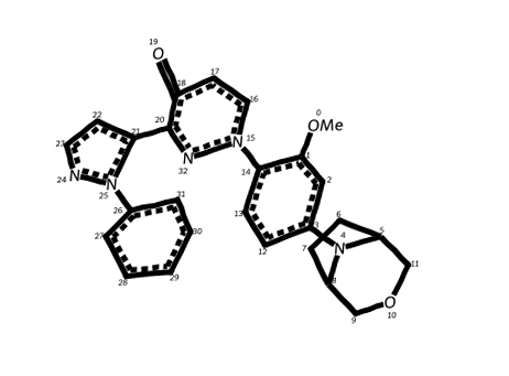 COc1cc(N2C3CCC2COC3)ccc1-n1ccc(=O)c(-c2ccnn2-c2ccccc2)n1